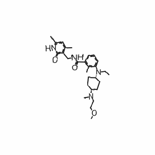 CCN(c1cccc(C(=O)NCc2c(C)cc(C)[nH]c2=O)c1C)[C@H]1CC[C@H](N(C)CCOC)CC1